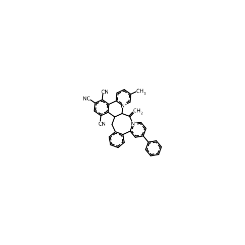 C=C1C2C(Cc3ccccc3-c3cc(-c4ccccc4)cc[n+]31)c1c(C#N)cc(C#N)c(C#N)c1-c1ccc(C)c[n+]12